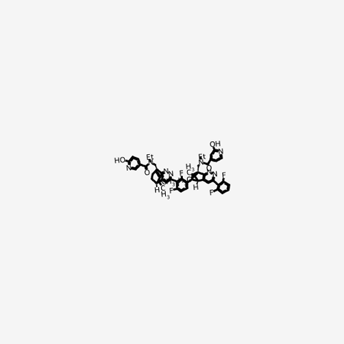 CCN(C[C@@]12C=CC(C)(C)[C@@H](CC1)c1cc(-c3c(F)ccc(C4C[C@]5(CN(CC)C(=O)c6ccnc(O)c6)c6nnc(-c7c(F)cccc7F)cc6[C@H]4C5(C)C)c3F)nnc12)C(=O)c1ccc(O)nc1